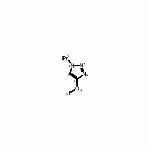 CC(C)n1cc(OI)nn1